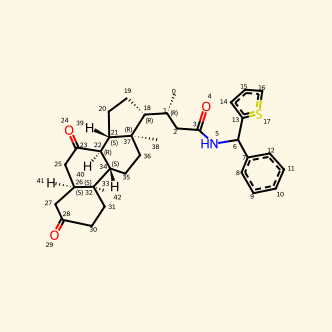 C[C@H](CC(=O)NC(c1ccccc1)c1cccs1)[C@H]1CC[C@H]2[C@@H]3C(=O)C[C@@H]4CC(=O)CC[C@]4(C)[C@H]3CC[C@]12C